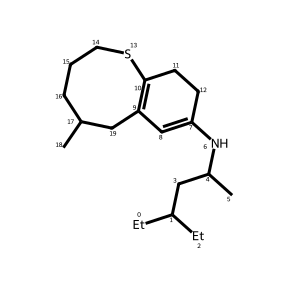 CCC(CC)CC(C)NC1=CC2=C(CC1)SCCCC(C)C2